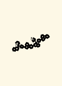 c1ccc(N(c2ccc(-c3ccc4c5c(cccc35)-c3cc(-c5cc(N(c6ccncc6)c6ccc(-c7ccc8c9c(cccc79)-c7ccccc7-8)cc6)c6ccccc6c5)ccc3-4)cc2)c2ccc3ccccc3c2)nc1